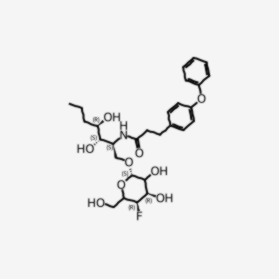 CCC[C@@H](O)[C@@H](O)[C@H](CO[C@H]1OC(CO)[C@H](F)[C@H](O)C1O)NC(=O)CCc1ccc(Oc2ccccc2)cc1